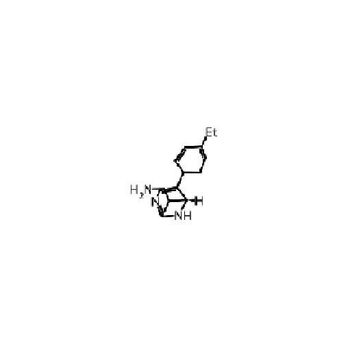 CCC1=CCC(C2=CN=C3N[C@@H]2C3CN)C=C1